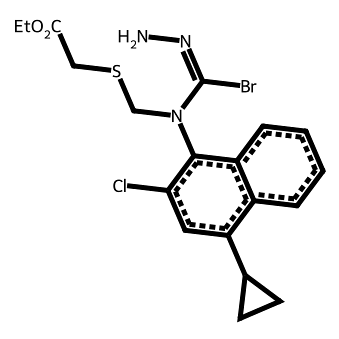 CCOC(=O)CSCN(/C(Br)=N\N)c1c(Cl)cc(C2CC2)c2ccccc12